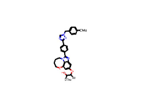 CCC(Oc1cc2c3c(c1)nc(-c1ccc(-c4ncn(Cc5ccc(OC)cc5)n4)cc1)n3CCCCO2)C(O)OC